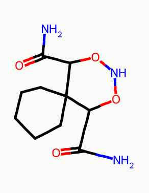 NC(=O)C1ONOC(C(N)=O)C12CCCCC2